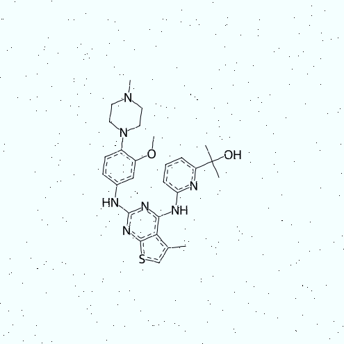 COc1cc(Nc2nc(Nc3cccc(C(C)(C)O)n3)c3c(C)csc3n2)ccc1N1CCN(C)CC1